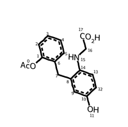 CC(=O)Oc1ccccc1Cc1cc(O)ccc1NCC(=O)O